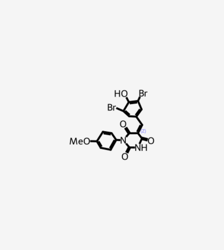 COc1ccc(N2C(=O)NC(=O)/C(=C/c3cc(Br)c(O)c(Br)c3)C2=O)cc1